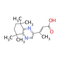 CC(=CC(=O)O)c1cnc2c(n1)C(C)(C)CCC2(C)C